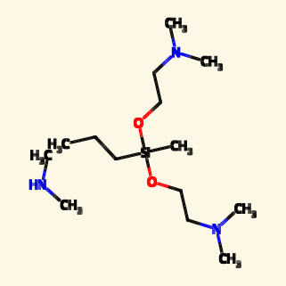 CCC[Si](C)(OCCN(C)C)OCCN(C)C.CNC